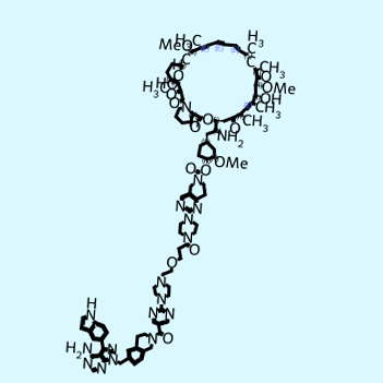 CO[C@H]1C[C@@H]2CC[C@@H](C)[C@@](O)(O2)C(=O)C(=O)N2CCCC[C@H]2C(=O)O[C@H]([C@H](N)C[C@@H]2CC[C@@H](OC(=O)N3CCc4nc(N5CCN(C(=O)CCOCCN6CCN(c7ncc(C(=O)N8CCc9cc(Cn%10nc(-c%11ccc%12[nH]ccc%12c%11)c%11c(N)ncnc%11%10)ccc9C8)cn7)CC6)CC5)ncc4C3)[C@H](OC)C2)CC(=O)[C@H](C)/C=C(\C)[C@@H](O)[C@@H](OC)C(=O)[C@H](C)C[C@H](C)/C=C/C=C/C=C/1C